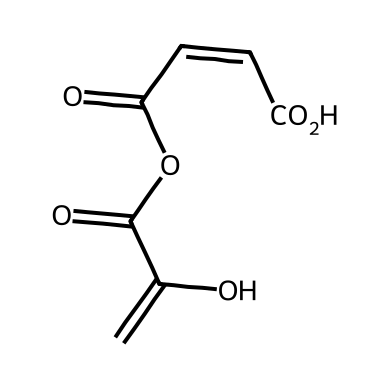 C=C(O)C(=O)OC(=O)/C=C\C(=O)O